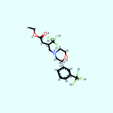 CCOC(=O)CC(CN1CCO[C@H](c2cccc(C(F)(F)F)c2)C1)C(F)(F)F